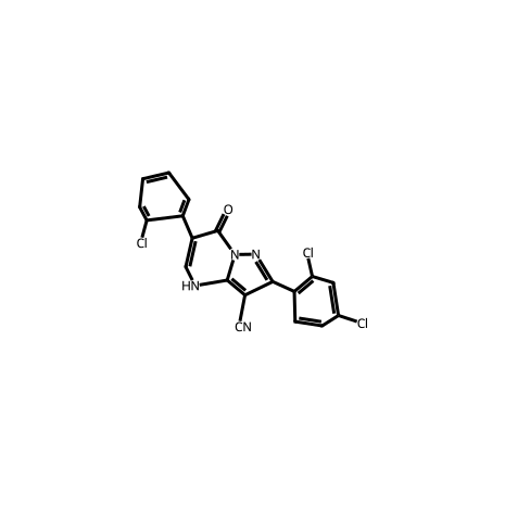 N#Cc1c(-c2ccc(Cl)cc2Cl)nn2c(=O)c(-c3ccccc3Cl)c[nH]c12